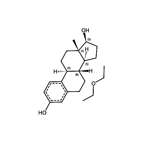 CCOCC.C[C@]12CC[C@@H]3c4ccc(O)cc4CC[C@H]3[C@@H]1CC[C@@H]2O